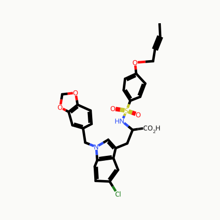 CC#CCOc1ccc(S(=O)(=O)NC(Cc2cn(Cc3ccc4c(c3)OCO4)c3ccc(Cl)cc23)C(=O)O)cc1